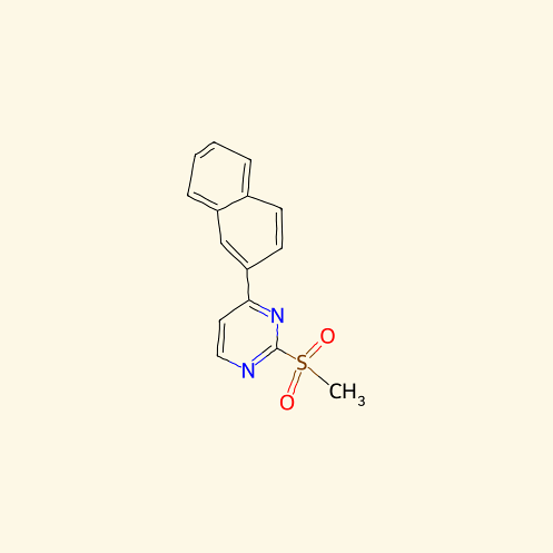 CS(=O)(=O)c1nccc(-c2ccc3ccccc3c2)n1